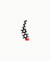 CCCCCCc1ccc([C@H]2CC[C@H](O)CC2)cc1